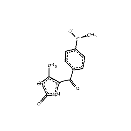 Cc1[nH]c(=O)[nH]c1C(=O)c1ccc([S@+](C)[O-])cc1